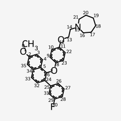 COc1ccc2c(Oc3ccc(OCCN4CCCCCC4)cc3)c(-c3cccc(F)c3)ccc2c1